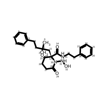 CC(C)(CCc1ccccc1)C[C@]1(C(=O)NCCc2ccccc2)C(=O)CCC(=O)N1NO